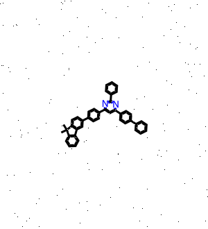 CC1(C)c2ccccc2-c2cc(-c3ccc(-c4cc(-c5ccc(-c6ccccc6)cc5)nc(-c5ccccc5)n4)cc3)ccc21